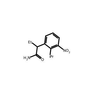 CCC(C(N)=O)c1cccc([N+](=O)[O-])c1C(C)C